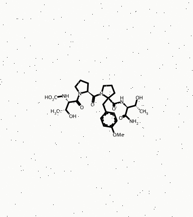 COc1ccc(CC2(C(=O)N[C@H](C(N)=O)[C@@H](C)O)CCCN2C(=O)[C@@H]2CCCN2C(=O)[C@@H](NC(=O)O)[C@@H](C)O)cc1